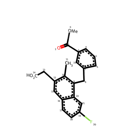 COC(=O)c1cccc(Cc2c(C)c(CC(=O)O)cc3ccc(F)cc23)c1